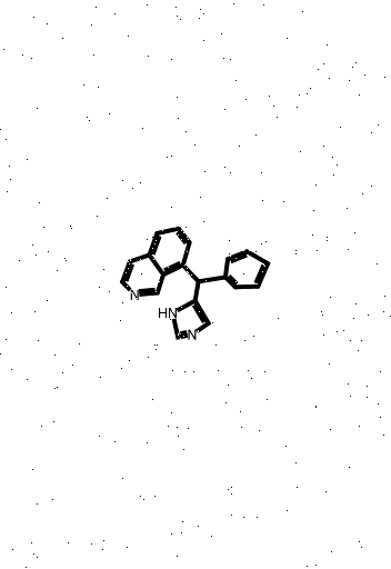 c1ccc(C(c2cnc[nH]2)c2cccc3ccncc23)cc1